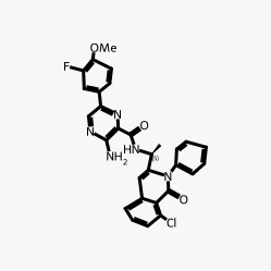 COc1ccc(-c2cnc(N)c(C(=O)N[C@@H](C)c3cc4cccc(Cl)c4c(=O)n3-c3ccccc3)n2)cc1F